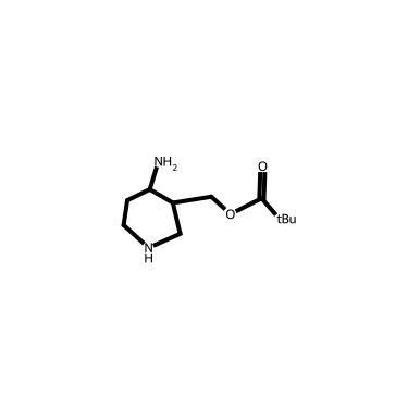 CC(C)(C)C(=O)OCC1CNCCC1N